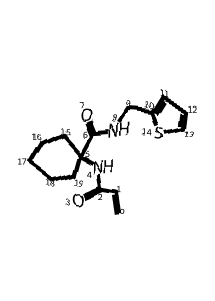 C=CC(=O)NC1(C(=O)NCc2cccs2)CCCCC1